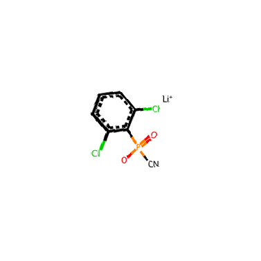 N#CP(=O)([O-])c1c(Cl)cccc1Cl.[Li+]